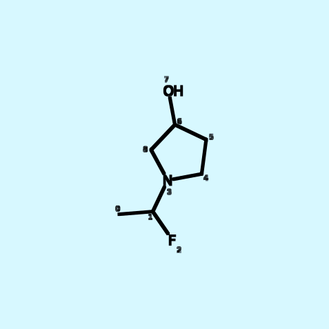 CC(F)N1CCC(O)C1